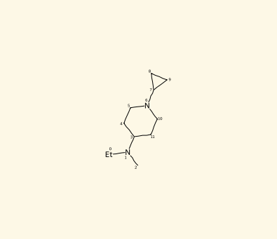 CCN(C)C1CCN(C2CC2)CC1